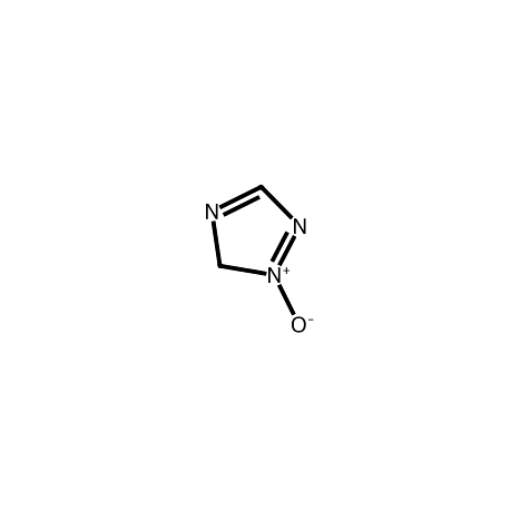 [O-][N+]1=NC=NC1